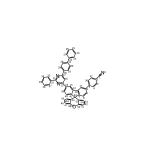 N#Cc1ccc(-c2ccc3c(c2)-c2cc(-c4cc(-c5ccc(-c6ccccc6)cc5)nc(-c5ccccc5)n4)ccc2C32c3ccccc3Oc3ccccc32)cc1